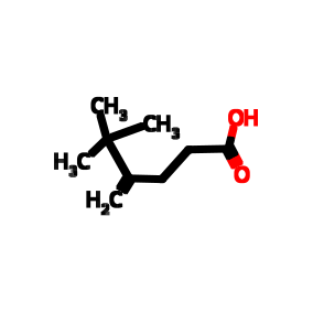 C=C(CCC(=O)O)C(C)(C)C